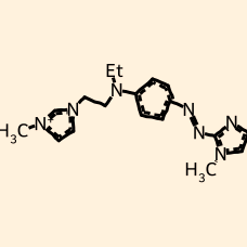 CCN(CCn1cc[n+](C)c1)c1ccc(/N=N/c2nccn2C)cc1